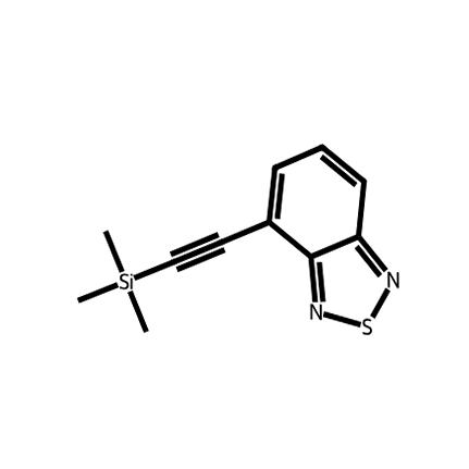 C[Si](C)(C)C#Cc1cccc2nsnc12